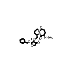 CC(=O)NC1CCC(=O)N2CCCC(C(=O)NC3C(=O)CO[C@@H]3OCc3ccccc3)N2C1=O